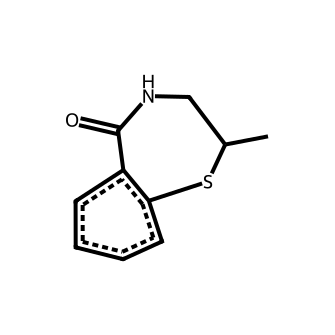 CC1CNC(=O)c2ccccc2S1